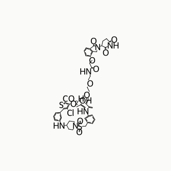 C=C(O)COc1c(C(=O)O)sc(-c2cccc(NC3CCN(S(=O)(=O)Cc4cccc(NC(=C)CCOCCOCCNC(=O)COc5cccc6c5CN(C5CCC(=O)NC5=O)C6=O)c4)CC3)c2)c1Cl